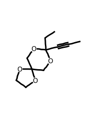 CC#CC1(CC)OCC2(CO1)OCCO2